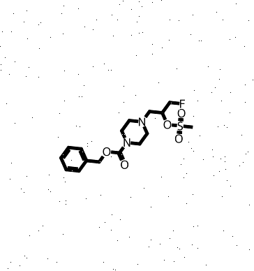 CS(=O)(=O)OC(CF)CN1CCN(C(=O)OCc2ccccc2)CC1